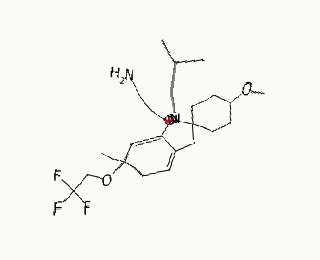 COC1CCC2(CC1)CC1=CCC(C)(OCC(F)(F)F)C=C1C21N=C(N)N(C(C)C)O1